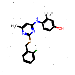 Cc1cc(Nc2ccc(O)cc2C(=O)O)nc(SCc2ccccc2Cl)n1